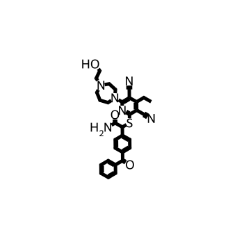 CCc1c(C#N)c(SC(C(N)=O)c2ccc(C(=O)c3ccccc3)cc2)nc(N2CCCN(CCO)CC2)c1C#N